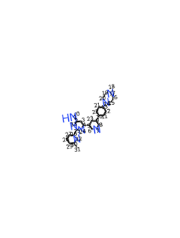 CNc1cc(-c2cncc(-c3ccc(N4CCN(C)CC4)cc3)c2)nc(-c2cccc(C)n2)n1